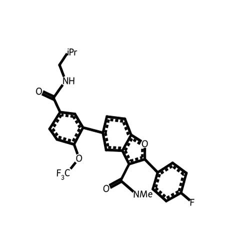 CNC(=O)c1c(-c2ccc(F)cc2)oc2ccc(-c3cc(C(=O)NCC(C)C)ccc3OC(F)(F)F)cc12